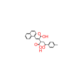 Cc1ccc(C(=O)CC(C(=O)O)C(=Cc2cccc3ccccc23)C(=O)O)cc1